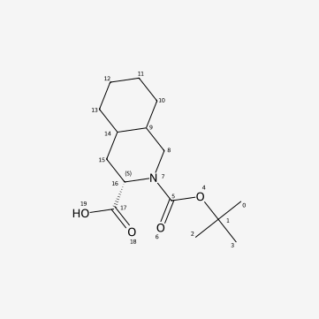 CC(C)(C)OC(=O)N1CC2CCCCC2C[C@H]1C(=O)O